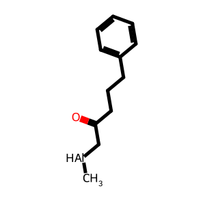 [CH3][AlH][CH2]C(=O)CCCc1ccccc1